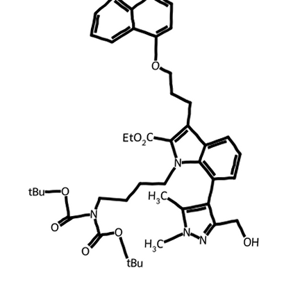 CCOC(=O)c1c(CCCOc2cccc3ccccc23)c2cccc(-c3c(CO)nn(C)c3C)c2n1CCCCN(C(=O)OC(C)(C)C)C(=O)OC(C)(C)C